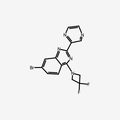 FC1(F)CN(c2nc(-c3cnccn3)nc3cc(Br)ccc23)C1